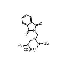 CC(C)(C)N(C[C@@H](CN1C(=O)c2ccccc2C1=O)N(C(=O)O)C(C)(C)C)C(=O)O